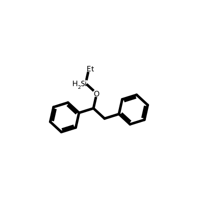 CC[SiH2]OC(Cc1ccccc1)c1ccccc1